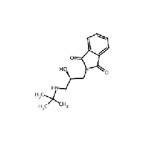 CC(C)(C)NC[C@@H](O)CN1C(=O)c2ccccc2C1=O